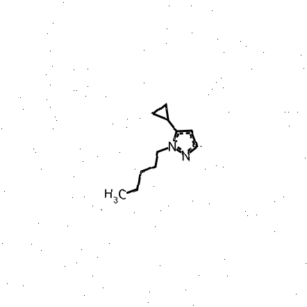 CCCCCn1n[c]cc1C1CC1